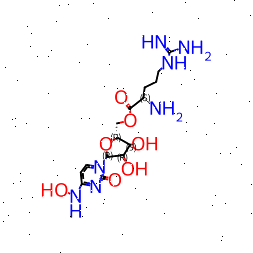 N=C(N)NCCC[C@H](N)C(=O)OC[C@H]1O[C@@H](n2ccc(NO)nc2=O)[C@H](O)[C@@H]1O